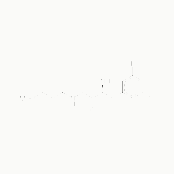 COCCCNC[C@@H](O)[C@@H](N)Cc1cc(F)cc(F)c1